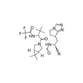 CC(C)(C)C(NC(=O)C(F)(F)F)C(=O)N1C[C@H]2[C@@H]([C@H]1C(=O)N[C@H](C#N)CC1CCn3cnnc31)C2(C)C